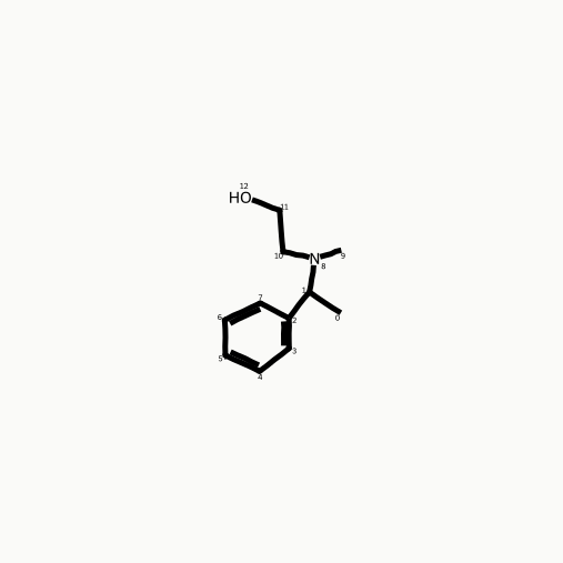 CC(c1cc[c]cc1)N(C)CCO